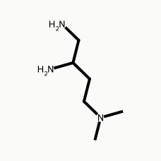 CN(C)CCC(N)CN